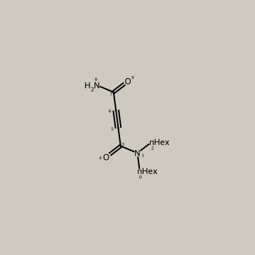 CCCCCCN(CCCCCC)C(=O)C#CC(N)=O